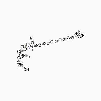 CCCN(Cc1ccc(C/N=C(/NCCOCCOCCOCCOCCOCCOCCOCCOCCOCCOCCC(=O)Oc2c(F)c(F)cc(F)c2F)Nc2cccc(C#N)c2)cc1)C(=O)C1=Cc2ccc(-c3cccc(S(=O)(=O)N4CC(CO)C4)c3)cc2N=C(N)C1